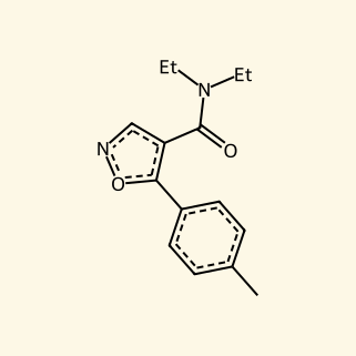 CCN(CC)C(=O)c1cnoc1-c1ccc(C)cc1